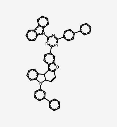 C1=CC2C(c3ccccc3N2c2cccc(-c3ccccc3)c2)c2c1oc1cc(-c3nc(-c4ccc(-c5ccccc5)cc4)nc(-n4c5ccccc5c5ccccc54)n3)ccc21